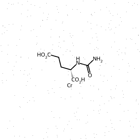 NC(=O)N[C@@H](CCC(=O)O)C(=O)O.[Cr]